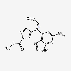 CC(C)(C)OC(=O)n1cc(/C(=C\C=O)c2cc(N)nc3[nH]nnc23)cn1